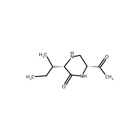 CCC(C)[C@@H]1NC[C@H](C(C)=O)NC1=O